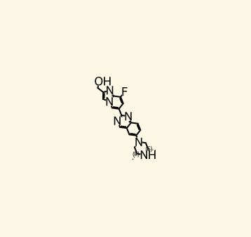 C[C@@H]1CN(c2ccc3nc(-c4cc(F)c5nc(CO)cn5c4)ncc3c2)C[C@H](C)N1